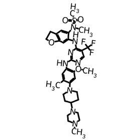 COc1cc(N2CCC(N3CCN(C)CC3)CC2)c(C)cc1Nc1ncc(C(F)(F)F)c(Nc2cc3c(cc2N(C)S(C)(=O)=O)CCO3)n1